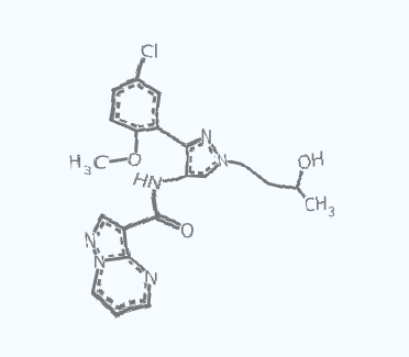 COc1ccc(Cl)cc1-c1nn(CCC(C)O)cc1NC(=O)c1cnn2cccnc12